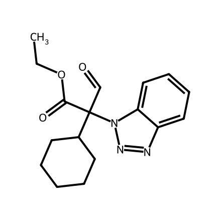 CCOC(=O)C(C=O)(C1CCCCC1)n1nnc2ccccc21